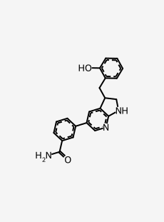 NC(=O)c1cccc(-c2cnc3c(c2)C(Cc2ccccc2O)CN3)c1